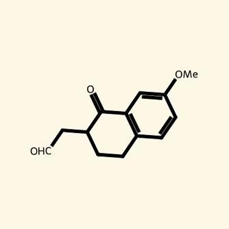 COc1ccc2c(c1)C(=O)C(CC=O)CC2